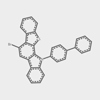 Brc1cc2c3ccccc3n(-c3ccc(-c4ccccc4)cc3)c2c2sc3ccccc3c12